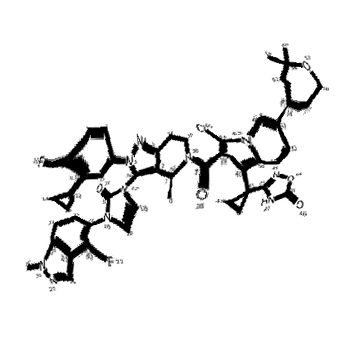 C[C@H]1c2c(nn(-c3ccc(F)c(C4CC4)c3)c2-n2ccn(-c3ccc4c(cnn4C)c3F)c2=O)CCN1C(=O)c1c(C2(c3noc(=O)[nH]3)CC2)c2ccc([C@@H]3CCOC(C)(C)C3)cn2c1Cl